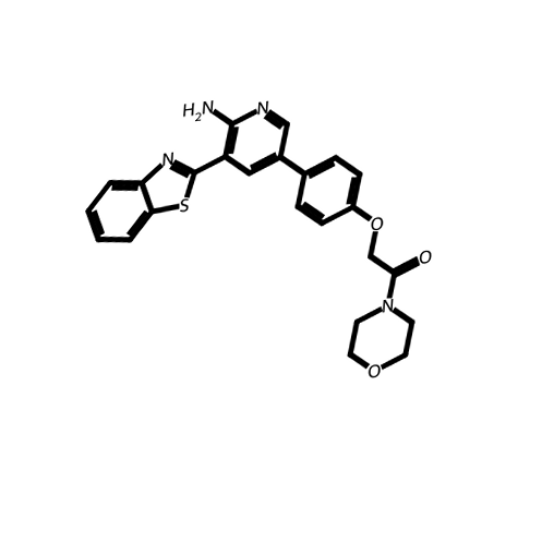 Nc1ncc(-c2ccc(OCC(=O)N3CCOCC3)cc2)cc1-c1nc2ccccc2s1